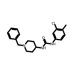 Cc1ccc(NC(=O)NC2CCN(Cc3ccccc3)CC2)cc1Cl